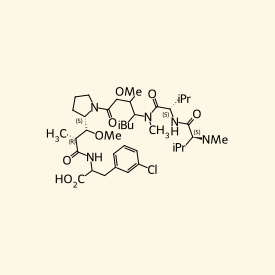 CCC(C)C(C(CC(=O)N1CCC[C@H]1C(OC)[C@@H](C)C(=O)NC(Cc1cccc(Cl)c1)C(=O)O)OC)N(C)C(=O)[C@@H](NC(=O)[C@@H](NC)C(C)C)C(C)C